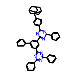 c1ccc(-c2cc(-c3nc(-c4ccccc4)nc(-c4ccccc4)n3)cc(-c3nc(-c4ccccc4)nc(-c4ccc(C56CC7CC(CC(C7)C5)C6)cc4)n3)c2)cc1